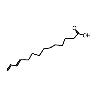 C=CC=CCCCCCCCCCC(=O)O